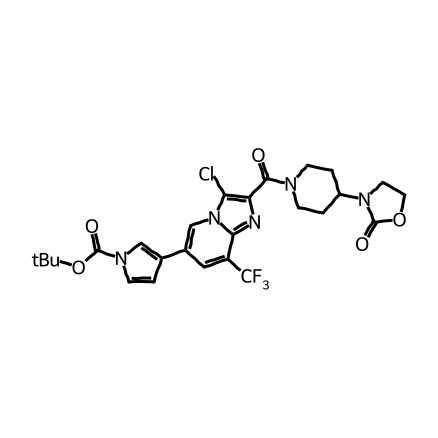 CC(C)(C)OC(=O)n1ccc(-c2cc(C(F)(F)F)c3nc(C(=O)N4CCC(N5CCOC5=O)CC4)c(Cl)n3c2)c1